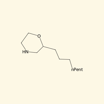 CCCCCCCCC1CNCCO1